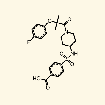 CC(C)(Oc1ccc(F)cc1)C(=O)N1CCC(NS(=O)(=O)c2ccc(C(=O)O)cc2)CC1